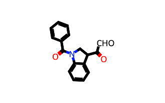 O=CC(=O)C1CN(C(=O)c2ccccc2)c2ccccc21